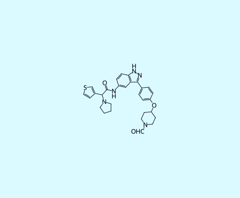 O=CN1CCC(Oc2ccc(-c3n[nH]c4ccc(NC(=O)C(c5ccsc5)N5CCCC5)cc34)cc2)CC1